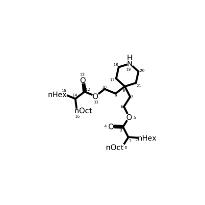 CCCCCCCCC(CCCCCC)C(=O)OCCC1(CCOC(=O)C(CCCCCC)CCCCCCCC)CCNCC1